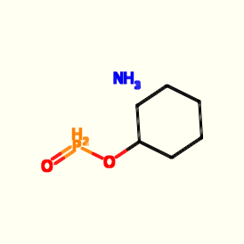 N.O=[PH2]OC1CCCCC1